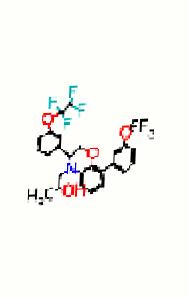 C[C@H](O)CN1c2cccc(-c3cccc(OC(F)(F)F)c3)c2OCC1[C@@H]1C=C(OC(F)(F)C(F)F)C=CC1